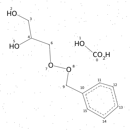 O=C(O)O.OCC(O)COOCc1ccccc1